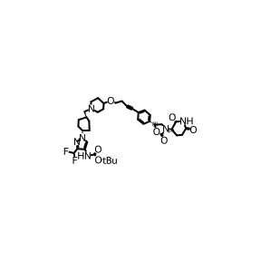 CC(C)(C)OC(=O)Nc1cn([C@H]2CC[C@H](CN3CCC(OCCC#Cc4ccc([C@@H]5CN([C@@H]6CCC(=O)NC6=O)C(=O)O5)cc4)CC3)CC2)nc1C(F)F